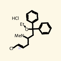 CCOC(CC(C/C=C/Cl)NC)(c1ccccc1)c1ccccc1.Cl